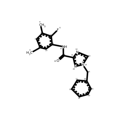 Cc1cc(C)c(F)c(NC(=O)c2ncn(Cc3ccccc3)n2)c1